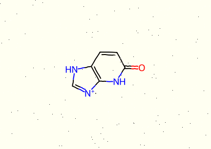 O=c1ccc2c([nH]1)[N+]=CN2